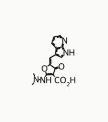 CN(C)NC1=C(C(=O)O)C(=O)C(=Cc2c[nH]c3ncccc23)O1